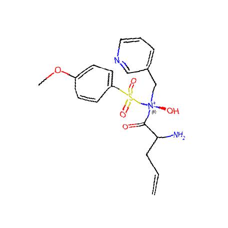 C=CCC(N)C(=O)[N@@+](O)(Cc1cccnc1)S(=O)(=O)c1ccc(OC)cc1